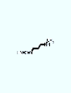 CNCCCN=C=N